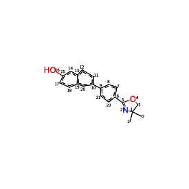 CC1(C)COC(c2ccc(-c3ccc4cc(O)ccc4c3)cc2)=N1